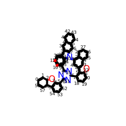 C1=CC2Oc3c(-c4nc(-c5ccccc5)nc(-c5cccc6oc7c8ccccc8c(-n8c9ccccc9c9cc%10ccccc%10cc98)cc7c56)n4)cccc3C2C=C1